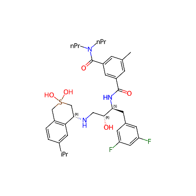 CCCN(CCC)C(=O)c1cc(C)cc(C(=O)N[C@@H](Cc2cc(F)cc(F)c2)[C@H](O)CN[C@H]2CS(O)(O)Cc3ccc(C(C)C)cc32)c1